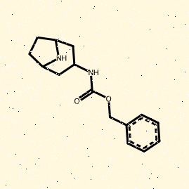 O=C(NC1CC2CCC(C1)N2)OCc1ccccc1